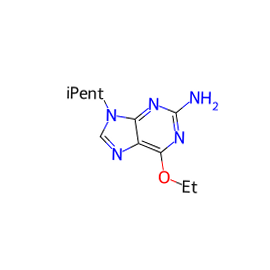 CCCC(C)n1cnc2c(OCC)nc(N)nc21